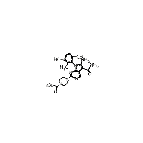 CCCCC(=O)N1CCN(c2ncc3c(C(N)=O)c(N)n(-c4c(C)ccc(O)c4C)c3n2)CC1